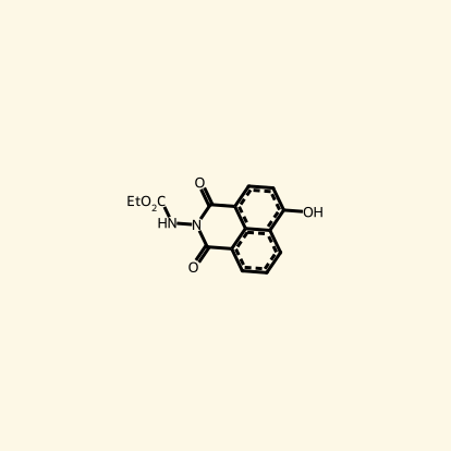 CCOC(=O)NN1C(=O)c2cccc3c(O)ccc(c23)C1=O